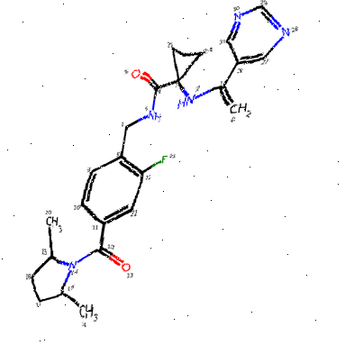 C=C(NC1(C(=O)NCc2ccc(C(=O)N3C(C)CCC3C)cc2F)CC1)c1cncnc1